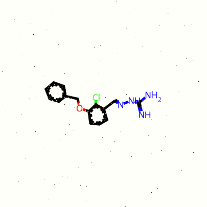 N=C(N)NN=Cc1cccc(OCc2ccccc2)c1Cl